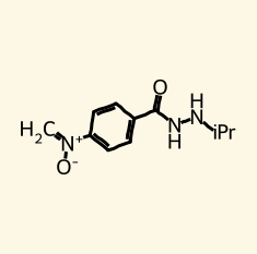 C=[N+]([O-])c1ccc(C(=O)NNC(C)C)cc1